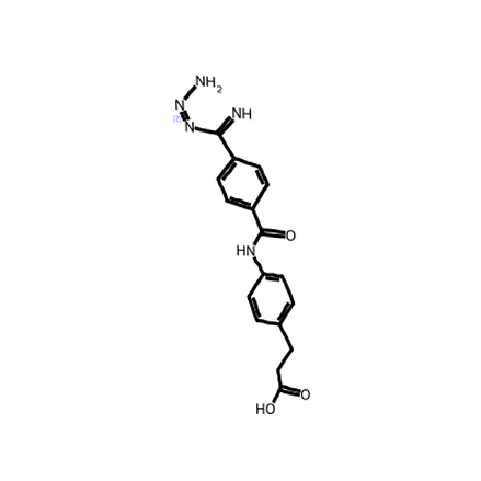 N=C(/N=N\N)c1ccc(C(=O)Nc2ccc(CCC(=O)O)cc2)cc1